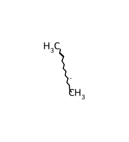 CCC=CCCCCC[CH]CCCC